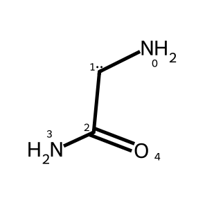 N[C]C(N)=O